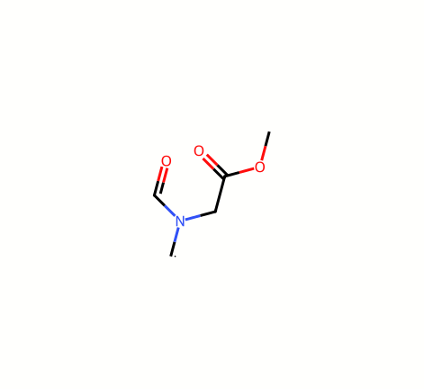 [CH2]N(C=O)CC(=O)OC